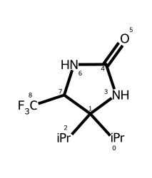 CC(C)C1(C(C)C)NC(=O)NC1C(F)(F)F